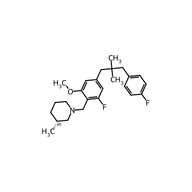 COc1cc(CC(C)(C)Cc2ccc(F)cc2)cc(F)c1CN1CCC[C@@H](C)C1